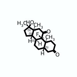 C[C@]1(O)CC[C@H]2[C@@H]3CC[C@H]4CC(=O)CC[C@]4(C)[C@@]3(F)C(=O)C[C@@]21C